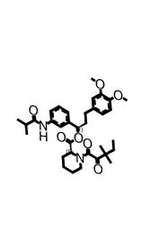 CCC(C)(C)C(=O)C(=O)N1CCCC[C@H]1C(=O)O[C@H](CCc1ccc(OC)c(OC)c1)c1cccc(NC(=O)C(C)C)c1